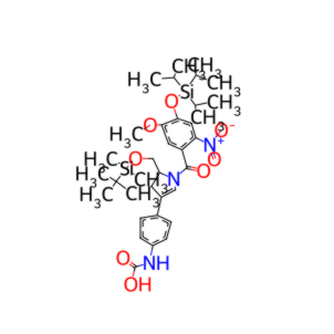 COc1cc(C(=O)N2C=C(c3ccc(NC(=O)O)cc3)CC2CO[Si](C)(C)C(C)(C)C)c([N+](=O)[O-])cc1O[Si](C(C)C)(C(C)C)C(C)C